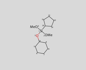 CO[Si](OC)(OC1CCCCC1)C1CCCC1